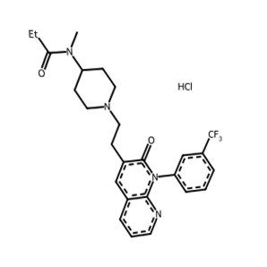 CCC(=O)N(C)C1CCN(CCc2cc3cccnc3n(-c3cccc(C(F)(F)F)c3)c2=O)CC1.Cl